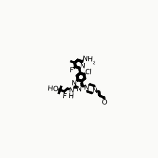 Cc1cc(N)nc(-c2cc3nc(NC[C@@H](F)C(C)(C)O)nc(N4CCN(C=CC=O)CC4)c3cc2Cl)c1F